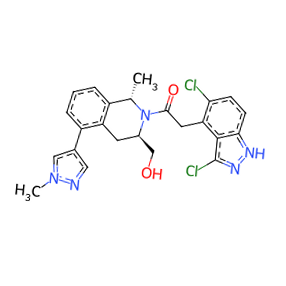 C[C@H]1c2cccc(-c3cnn(C)c3)c2C[C@H](CO)N1C(=O)Cc1c(Cl)ccc2[nH]nc(Cl)c12